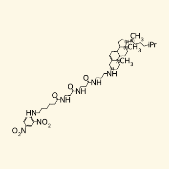 CC(C)CCC[C@@H](C)[C@H]1CCC2C3CC=C4C[C@@H](NCCCNC(=O)CCNC(=O)CCNC(=O)CCCCCNc5ccc([N+](=O)[O-])cc5[N+](=O)[O-])CC[C@]4(C)C3CC[C@@]21C